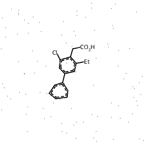 CCc1cc(-c2ccccc2)cc(Cl)c1CC(=O)O